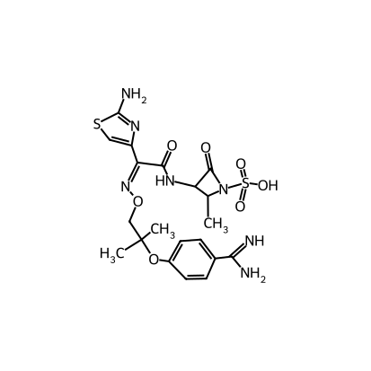 CC1C(NC(=O)/C(=N\OCC(C)(C)Oc2ccc(C(=N)N)cc2)c2csc(N)n2)C(=O)N1S(=O)(=O)O